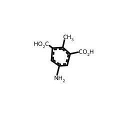 Cc1c(C(=O)O)cc(N)cc1C(=O)O